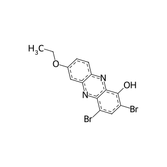 CCOc1ccc2nc3c(O)c(Br)cc(Br)c3nc2c1